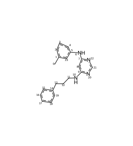 Cc1cccc(Nc2cc(NCCCc3ccccc3)ncn2)c1